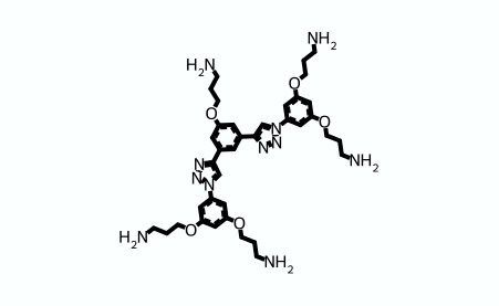 NCCCOc1cc(-c2cn(-c3cc(OCCCN)cc(OCCCN)c3)nn2)cc(-c2cn(-c3cc(OCCCN)cc(OCCCN)c3)nn2)c1